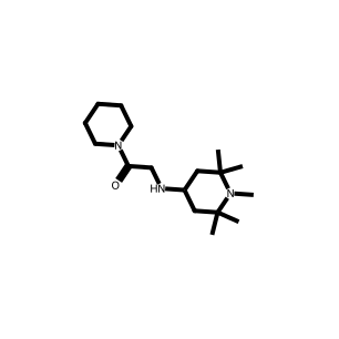 CN1C(C)(C)CC(NCC(=O)N2CCCCC2)CC1(C)C